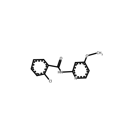 COc1ccnc(NC(=O)c2ccccc2Cl)c1